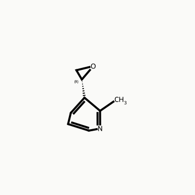 Cc1ncccc1[C@@H]1CO1